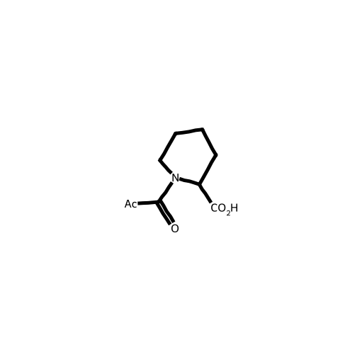 CC(=O)C(=O)N1CCCCC1C(=O)O